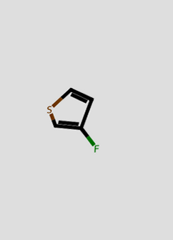 Fc1ccsc1